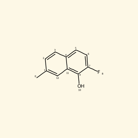 Cc1ccc2ccc(F)c(O)c2c1